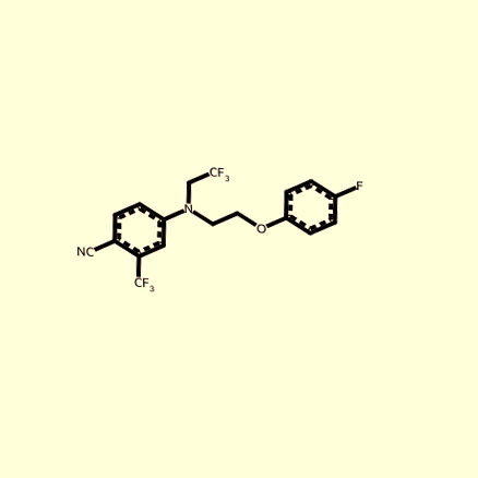 N#Cc1ccc(N(CCOc2ccc(F)cc2)CC(F)(F)F)cc1C(F)(F)F